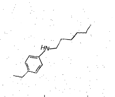 CCCCCCNc1ccc(CC)cc1